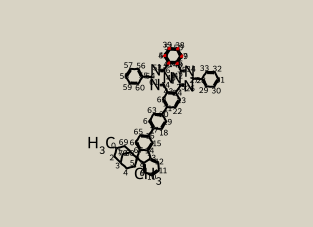 CC1CC2CC(C)C3(c4ccccc4-c4cc(-c5ccc(-c6ccc(-c7nc(-c8ccccc8)nc(-c8ccccc8)n7)c(-c7nc(-c8ccccc8)nc(-c8ccccc8)n7)c6)cc5)ccc43)C(C1)C2